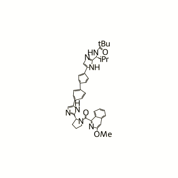 COc1cc2ccccc2c(C(=O)N2CCC[C@H]2c2ncc(-c3ccc(-c4ccc(-c5cnc([C@@H](NC(=O)C(C)(C)C)C(C)C)[nH]5)cc4)cc3)[nH]2)n1